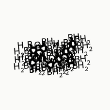 Bc1c(B)c(B)c(-c2nc(-c3c(B)c(B)c(B)c4c3oc3c(B)c(-c5c(B)c(B)c(-c6c(B)c(B)c(B)c(B)c6B)c6oc7c(B)c(B)c(B)c(B)c7c56)c(B)c(B)c34)nc(-c3c(B)c(B)c(B)c4oc5c(B)c(B)c(B)c(B)c5c34)n2)c(B)c1B